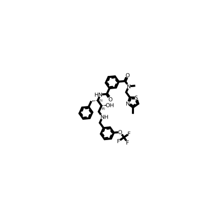 Cc1csc(CN(C)C(=O)c2cccc(C(=O)N[C@@H](Cc3ccccc3)[C@H](O)CNCc3cccc(OC(F)(F)F)c3)c2)n1